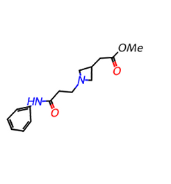 COC(=O)CC1CN(CCC(=O)Nc2ccccc2)C1